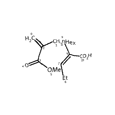 C=C(C)C(=O)OC.CCC=C(CCCCCC)C(=O)O